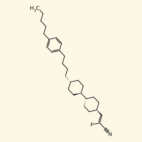 CCCCCc1ccc(CCCC[C@H]2CC[C@H]([C@H]3CC[C@H](C=C(F)C#N)CC3)CC2)cc1